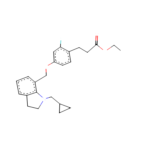 CCOC(=O)CCc1ccc(OCc2cccc3c2N(CC2CC2)CC3)cc1F